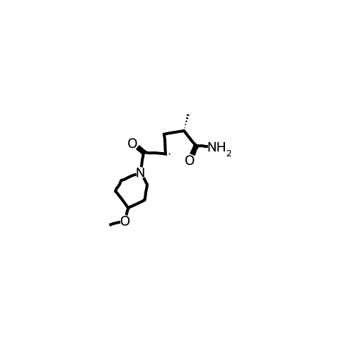 COC1CCN(C(=O)[CH]C[C@H](C)C(N)=O)CC1